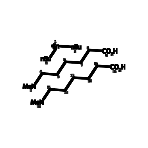 CCC[CH2][Sn][CH2]CCC.CNCCCCCC(=O)O.CNCCCCCC(=O)O